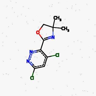 CC1(C)COC(c2nnc(Cl)cc2Cl)=N1